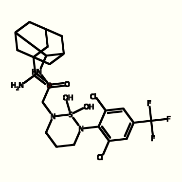 NC(=O)C12CC3CC(C1)C(NC(=O)CN1CCCN(c4c(Cl)cc(C(F)(F)F)cc4Cl)S1(O)O)C(C3)C2